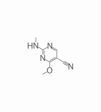 CNc1ncc(C#N)c(OC)n1